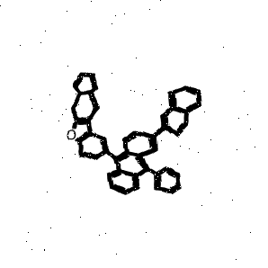 C1=CC2=Cc3c(oc4ccc(-c5c6ccccc6c(-c6ccccc6)c6cc(-c7ccc8ccccc8c7)ccc56)cc34)CC2C=C1